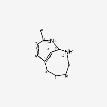 CC1=NC2C=C(C=C1)CCCCN2